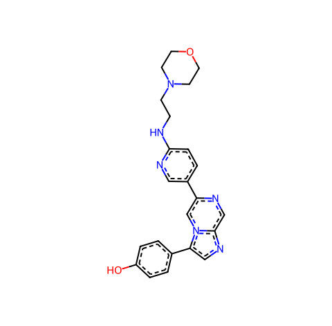 Oc1ccc(-c2cnc3cnc(-c4ccc(NCCN5CCOCC5)nc4)cn23)cc1